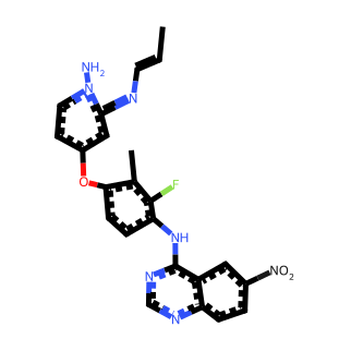 C/C=C/N=c1/cc(Oc2ccc(Nc3ncnc4ccc([N+](=O)[O-])cc34)c(F)c2C)ccn1N